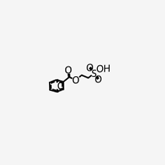 O=C(OCCS(=O)(=O)O)c1cc2ccc1o2